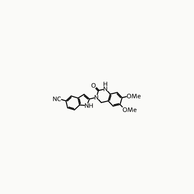 COc1cc2c(cc1OC)NC(=O)N(c1cc3cc(C#N)ccc3[nH]1)C2